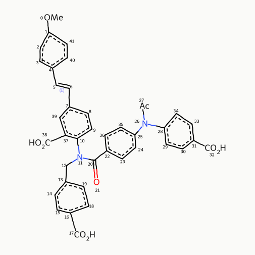 COc1ccc(/C=C/c2ccc(N(Cc3ccc(C(=O)O)cc3)C(=O)c3ccc(N(C(C)=O)c4ccc(C(=O)O)cc4)cc3)c(C(=O)O)c2)cc1